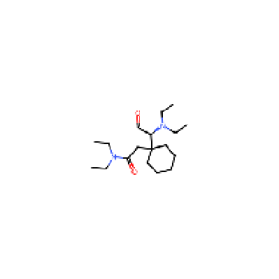 CCN(CC)C(=O)CC1([C@@H](C=O)N(CC)CC)CCCCC1